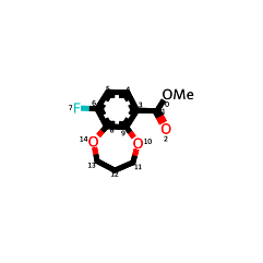 COC(=O)c1ccc(F)c2c1OCCCO2